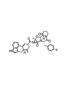 CN1C[C@H](C(=O)N[C@]2(C)O[C@@]3(O)[C@@H]4CCCN4C(=O)[C@H](Cc4ccc(F)cc4)N3C2=O)C=C2c3cccc4[nH]cc(c34)C[C@H]21